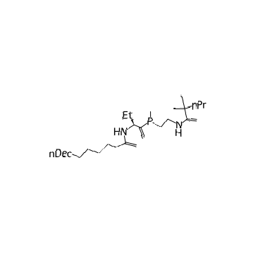 C=C(CCCCCCCCCCCCCCC)N[C@@H](CC)C(=C)P(C)CCNC(=C)C(C)(C)CCC